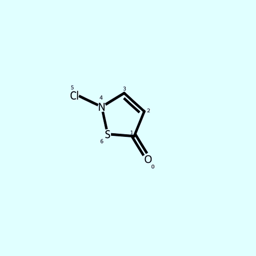 O=c1ccn(Cl)s1